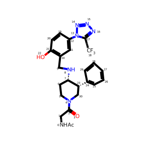 CC(=O)NCC(=O)N1CC[C@H](NCc2cc(-n3nnnc3C(F)(F)F)ccc2O)[C@H](c2ccccc2)C1